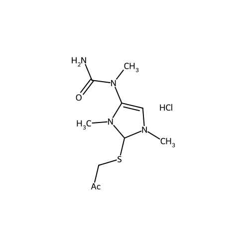 CC(=O)CSC1N(C)C=C(N(C)C(N)=O)N1C.Cl